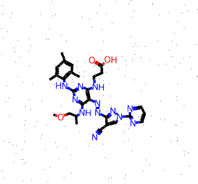 COCC(C)Nc1nc(Nc2c(C)cc(C)cc2C)nc(NCCC(=O)O)c1N=Nc1nn(-c2ncccn2)cc1C#N